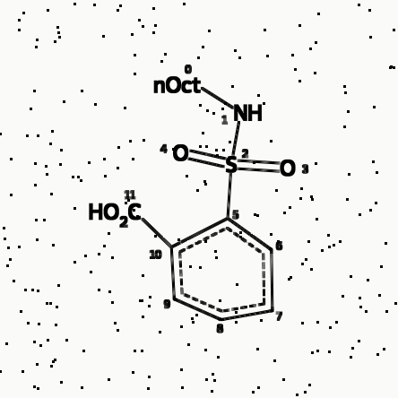 CCCCCCCCNS(=O)(=O)c1ccccc1C(=O)O